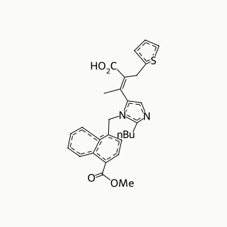 CCCCc1ncc(C(C)=C(Cc2cccs2)C(=O)O)n1Cc1ccc(C(=O)OC)c2ccccc12